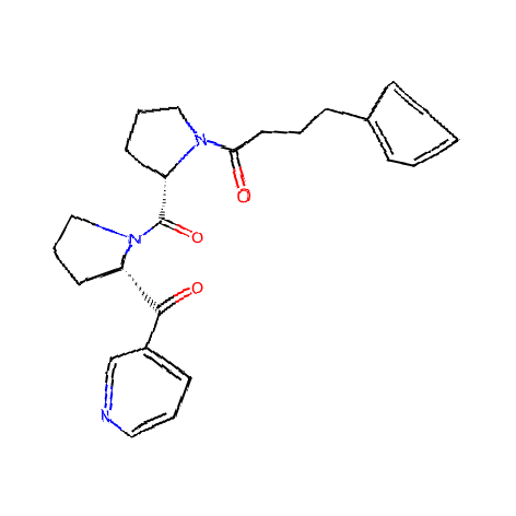 O=C(c1cccnc1)[C@@H]1CCCN1C(=O)[C@@H]1CCCN1C(=O)CCCc1ccccc1